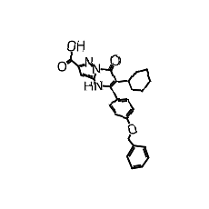 O=C(O)c1cc2[nH]c(-c3ccc(OCc4ccccc4)cc3)c(C3CCCCC3)c(=O)n2n1